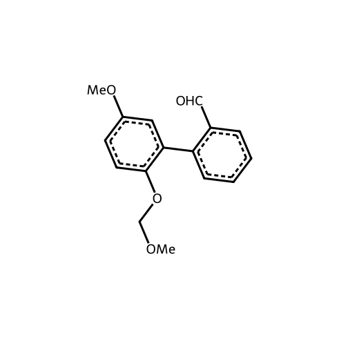 COCOc1ccc(OC)cc1-c1ccccc1C=O